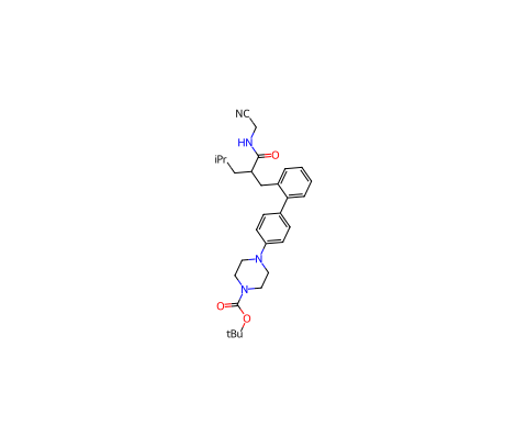 CC(C)CC(Cc1ccccc1-c1ccc(N2CCN(C(=O)OC(C)(C)C)CC2)cc1)C(=O)NCC#N